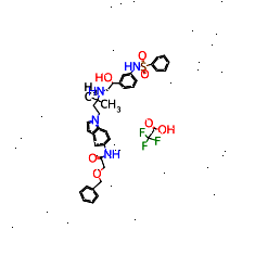 CC(C)(CCn1ccc2cc(NC(=O)COCc3ccccc3)ccc21)NCC(O)c1cccc(NS(=O)(=O)c2ccccc2)c1.O=C(O)C(F)(F)F